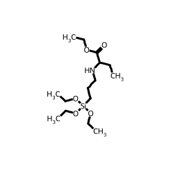 CCOC(=O)C(CC)NCCC[Si](OCC)(OCC)OCC